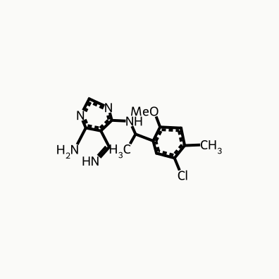 COc1cc(C)c(Cl)cc1C(C)Nc1ncnc(N)c1C=N